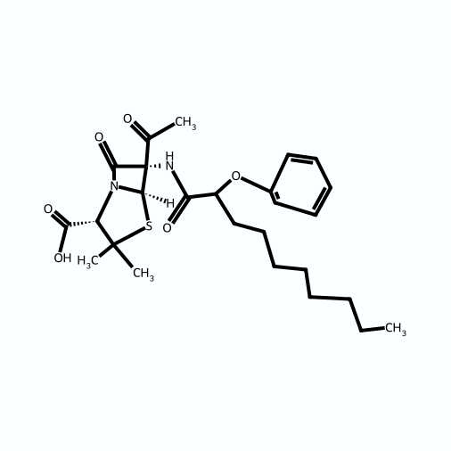 CCCCCCCCC(Oc1ccccc1)C(=O)N[C@@]1(C(C)=O)C(=O)N2[C@@H](C(=O)O)C(C)(C)S[C@@H]21